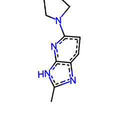 Cc1nc2ccc(N3CCCC3)nc2[nH]1